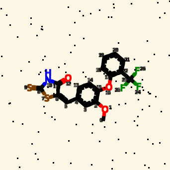 COc1cc(C=C2SC(=S)NC2=O)ccc1Oc1ccccc1C(F)(F)F